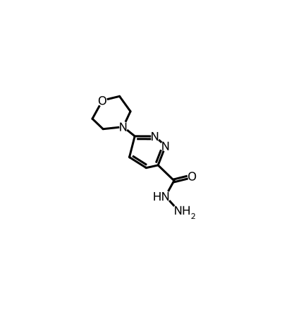 NNC(=O)c1ccc(N2CCOCC2)nn1